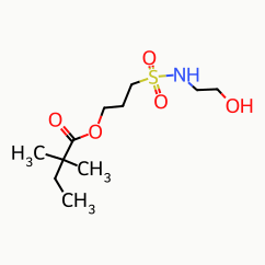 CCC(C)(C)C(=O)OCCCS(=O)(=O)NCCO